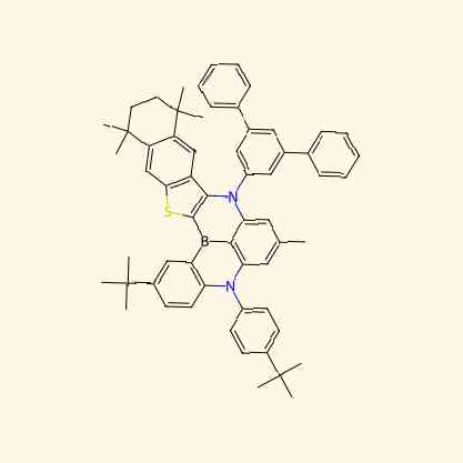 Cc1cc2c3c(c1)N(c1cc(-c4ccccc4)cc(-c4ccccc4)c1)c1c(sc4cc5c(cc14)C(C)(C)CCC5(C)C)B3c1cc(C(C)(C)C)ccc1N2c1ccc(C(C)(C)C)cc1